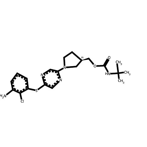 CC(C)(C)NC(=O)OC[C@@H]1CCN(c2cnc(Sc3cccc(N)c3Cl)cn2)C1